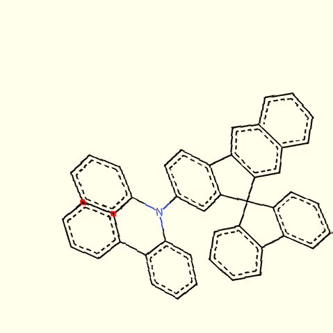 c1ccc(-c2ccccc2N(c2ccccc2)c2ccc3c(c2)C2(c4ccccc4-c4ccccc42)c2cc4ccccc4cc2-3)cc1